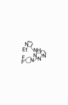 CCc1ncccc1CNc1nc(CN2CCC(F)(F)CC2)nc2ncccc12